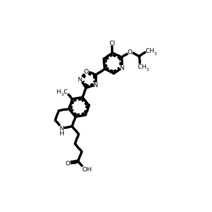 Cc1c(-c2noc(-c3cnc(OC(C)C)c(Cl)c3)n2)ccc2c1CCNC2CCCC(=O)O